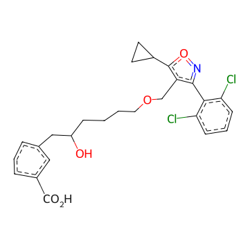 O=C(O)c1cccc(CC(O)CCCCOCc2c(-c3c(Cl)cccc3Cl)noc2C2CC2)c1